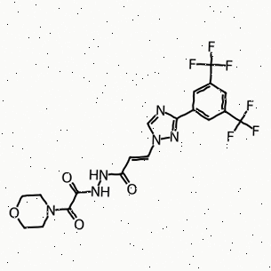 O=C(C=Cn1cnc(-c2cc(C(F)(F)F)cc(C(F)(F)F)c2)n1)NNC(=O)C(=O)N1CCOCC1